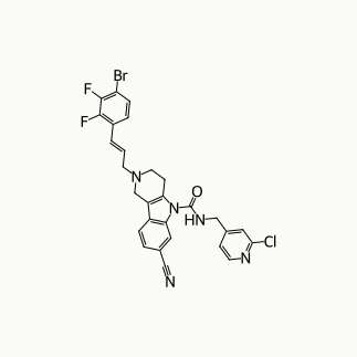 N#Cc1ccc2c3c(n(C(=O)NCc4ccnc(Cl)c4)c2c1)CCN(CC=Cc1ccc(Br)c(F)c1F)C3